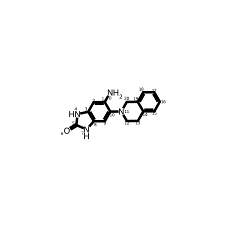 Nc1cc2[nH]c(=O)[nH]c2cc1N1CCc2ccccc2C1